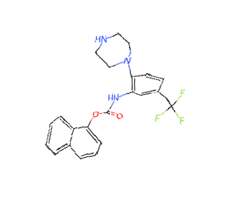 O=C(Nc1cc(C(F)(F)F)ccc1N1CCNCC1)Oc1cccc2ccccc12